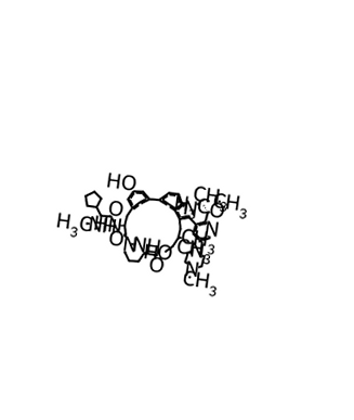 CCn1c(-c2cc(N3CCN(C)CC3)cnc2[C@H](C)OC)c2c3cc(ccc31)-c1cc(O)cc(c1)C[C@H](NC(=O)[C@@H](NC)C1CCCC1)C(=O)N1CCC[C@H](N1)C(=O)OCC(C)(C)C2